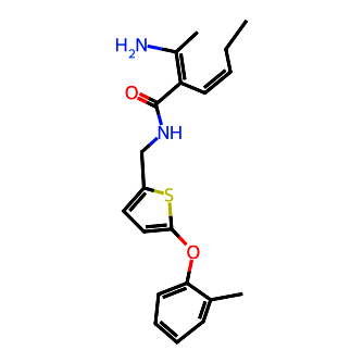 CC/C=C\C(C(=O)NCc1ccc(Oc2ccccc2C)s1)=C(/C)N